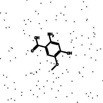 COc1cc(C(=O)O)c(N)cc1O